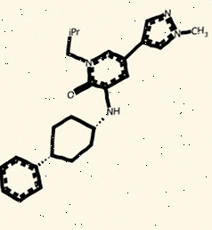 CC(C)Cn1cc(-c2cnn(C)c2)cc(N[C@H]2CC[C@@H](c3ccccc3)CC2)c1=O